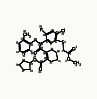 COC(=O)CSc1cc(N(Cc2cnccc2C)C(=O)C2=C(C(=O)OC3CCCC3)CCCC2)c(F)cc1Cl